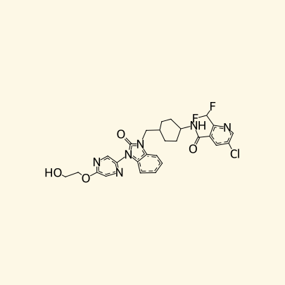 O=C(NC1CCC(Cn2c(=O)n(-c3cnc(OCCO)cn3)c3ccccc32)CC1)c1cc(Cl)cnc1C(F)F